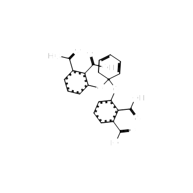 O=C(O)c1cccc(OC2(Oc3cccc(C(=O)O)c3C(=O)O)C=CC=CC2)c1C(=O)O